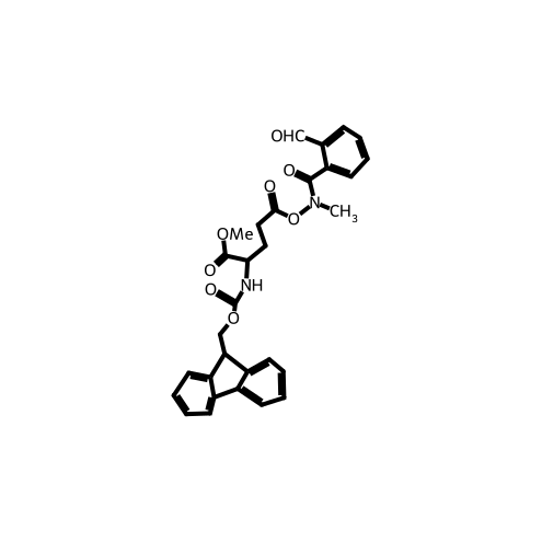 COC(=O)C(CCC(=O)ON(C)C(=O)c1ccccc1C=O)NC(=O)OCC1c2ccccc2-c2ccccc21